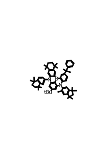 Cc1cc2c(cc1N1c3ccc(C(C)(C)c4ccccc4)cc3B3c4cc5c(cc4N(c4ccc6c(c4)C(C)(C)CCC6(C)C)c4cc(C(C)(C)C)cc1c43)C(C)(C)CCC5(C)C)C(C)(C)CC2(C)C